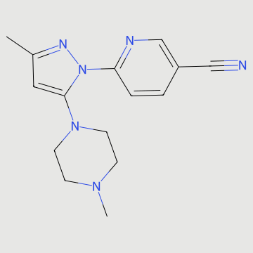 Cc1cc(N2CCN(C)CC2)n(-c2ccc(C#N)cn2)n1